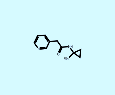 CC(C)(C)C1(NC(=O)Cc2cccnc2)CC1